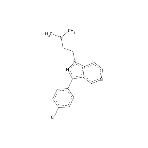 CN(C)CCn1nc(-c2ccc(Cl)cc2)c2cnccc21